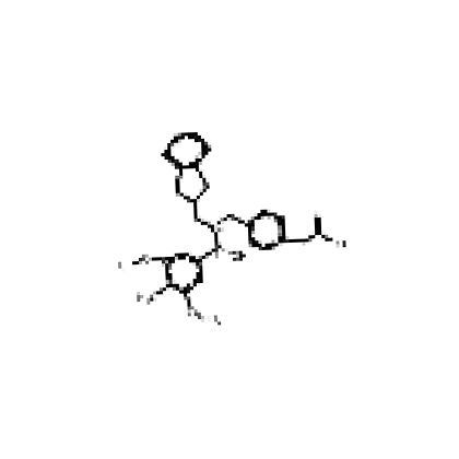 COc1cc([C@@H](O)[C@H](Cc2ccc(CC(=O)O)cc2)CC2Cc3ccccc3C2)cc(OC)c1C